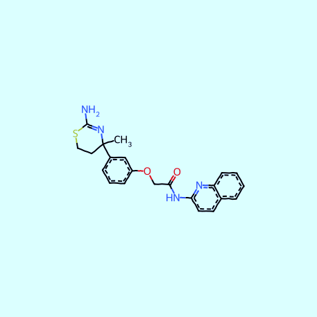 CC1(c2cccc(OCC(=O)Nc3ccc4ccccc4n3)c2)CCSC(N)=N1